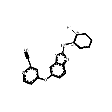 C#Cc1cc(Oc2ccc3nc(N[C@@H]4CCCC[C@H]4O)sc3c2)ccn1